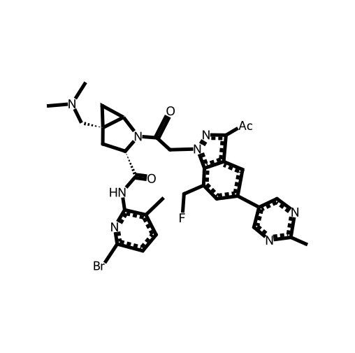 CC(=O)c1nn(CC(=O)N2C3C[C@]3(CN(C)C)C[C@H]2C(=O)Nc2nc(Br)ccc2C)c2c(CF)cc(-c3cnc(C)nc3)cc12